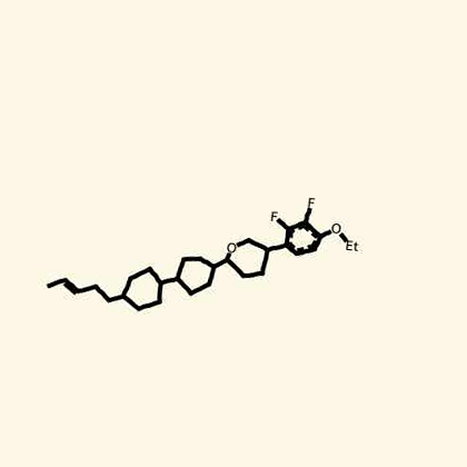 C/C=C/CCC1CCC(C2CCC(C3CCC(c4ccc(OCC)c(F)c4F)CO3)CC2)CC1